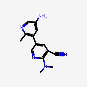 Cc1ncc(N)cc1-c1cnc(N(C)C)c(C#N)c1